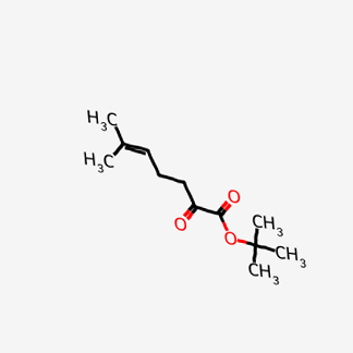 CC(C)=CCCC(=O)C(=O)OC(C)(C)C